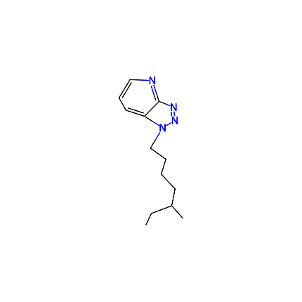 CCC(C)CCCCn1nnc2ncccc21